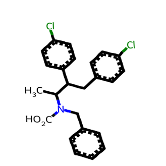 CC(C(Cc1ccc(Cl)cc1)c1ccc(Cl)cc1)N(Cc1ccccc1)C(=O)O